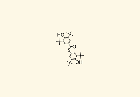 CC(C)(C)c1cc(SC(=O)c2cc(C(C)(C)C)c(O)c(C(C)(C)C)c2)cc(C(C)(C)C)c1O